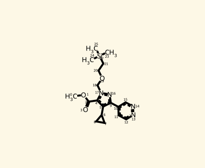 COC(=O)c1c(C2CC2)c(-c2ccnnc2)nn1COCC[Si](C)(C)C